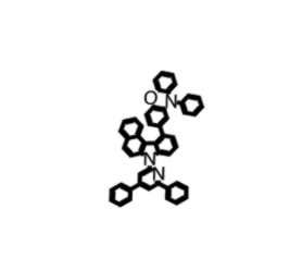 c1ccc(-c2cc(-c3ccccc3)nc(-n3c4cccc(-c5ccc6c(c5)N(c5ccccc5)c5ccccc5O6)c4c4c5ccccc5ccc43)c2)cc1